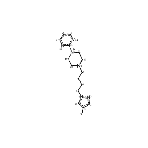 Cc1cnn(CCCCN2CCN(c3ncccn3)CC2)c1